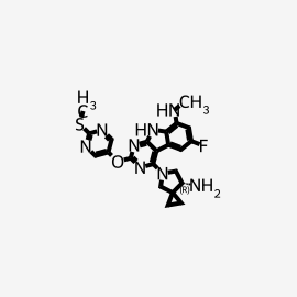 CNc1cc(F)cc2c1[nH]c1nc(Oc3cnc(SC)nc3)nc(N3C[C@H](N)C4(CC4)C3)c12